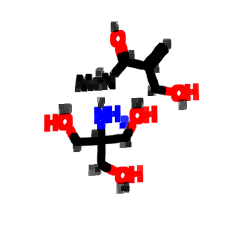 C=C(CO)C(=O)NC.NC(CO)(CO)CO